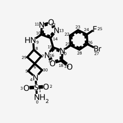 NS(=O)(=O)N1CC2(CC(Nc3nonc3-c3noc(=O)n3-c3ccc(F)c(Br)c3)C2)C1